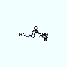 Cn1ccc(NC(=O)CC[C@@H]2CC(=O)[C@@]3(C)CCC4/C(=C/C=C\C=N)CCCC4C23)n1